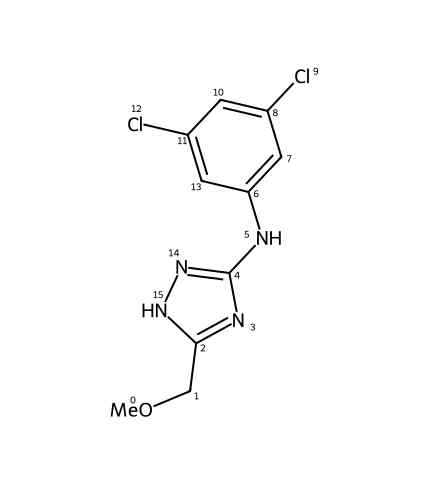 COCc1nc(Nc2cc(Cl)cc(Cl)c2)n[nH]1